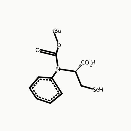 CC(C)(C)OC(=O)N(c1ccccc1)[C@@H](C[SeH])C(=O)O